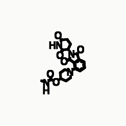 CNC(=O)OC1CCN(c2cccc3c2C(=O)N(C2CCC(=O)NC2=O)C3=O)CC1